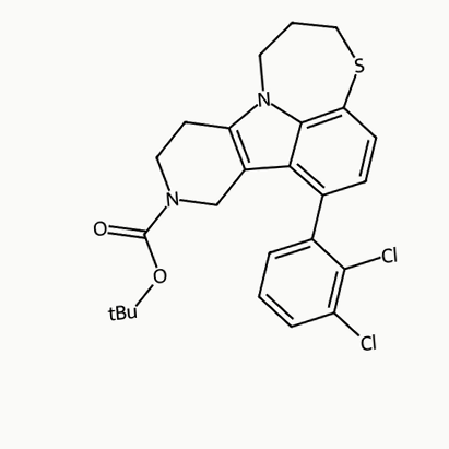 CC(C)(C)OC(=O)N1CCc2c(c3c(-c4cccc(Cl)c4Cl)ccc4c3n2CCCS4)C1